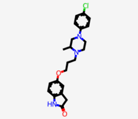 CC1CN(c2ccc(Cl)cc2)CCN1CCCOc1ccc2c(c1)CC(=O)N2